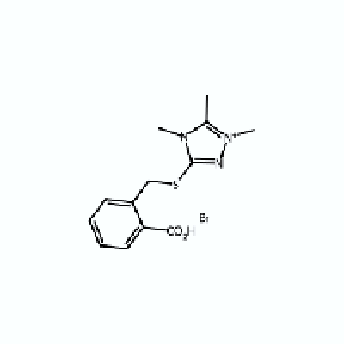 Cc1n(C)c(SCc2ccccc2C(=O)O)n[n+]1C.[Br-]